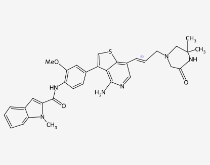 COc1cc(-c2csc3c(/C=C/CN4CC(=O)NC(C)(C)C4)cnc(N)c23)ccc1NC(=O)c1cc2ccccc2n1C